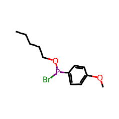 CCCCCOP(Br)c1ccc(OC)cc1